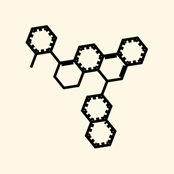 Cc1ccccc1C1=c2ccc3c(c2CCC1)C(c1ccc2ccccc2c1)C=c1ccccc1=3